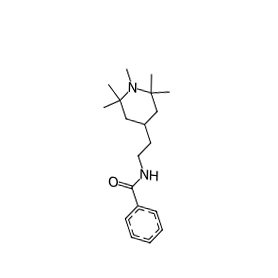 CN1C(C)(C)CC(CCNC(=O)c2ccccc2)CC1(C)C